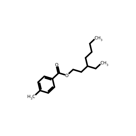 CCCCC(CC)CCOC(=O)c1ccc(C)cc1